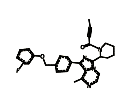 CC#CC(=O)N1CCCCC1c1nc(-c2ccc(COc3cccc(F)c3)cc2)c2c(C)nccn12